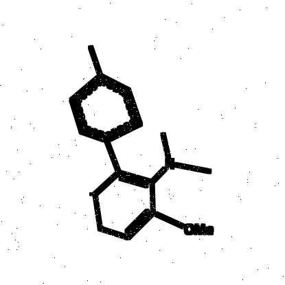 COC1=CC[CH]C(c2ccc(C)cc2)=C1N(C)C